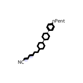 CCCCCc1ccc([C@H]2CC[C@H](C3CCC(CC/C=C/C=C/C#N)CC3)CC2)cc1